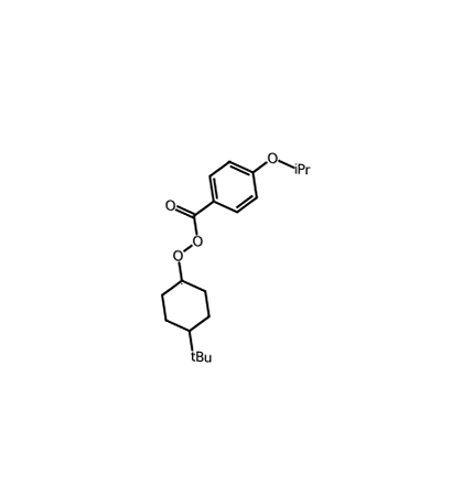 CC(C)Oc1ccc(C(=O)OO[C]2CCC(C(C)(C)C)CC2)cc1